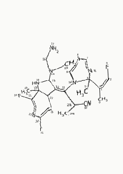 C/C(=C/F)C1(C)N=CN=CN1/C(=C1\C(N(C)CN)NC2(C)C(F)=NC(F)=CC12)C(C)C#N